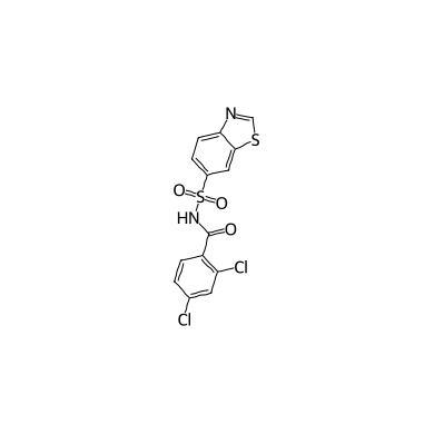 O=C(NS(=O)(=O)c1ccc2ncsc2c1)c1ccc(Cl)cc1Cl